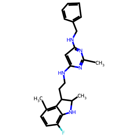 Cc1nc(NCCC2c3c(C)ccc(F)c3NC2C)cc(NCc2ccccc2)n1